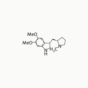 COc1cc2c(cc1OC)C(C[C@H]1CCCN1C)CN2